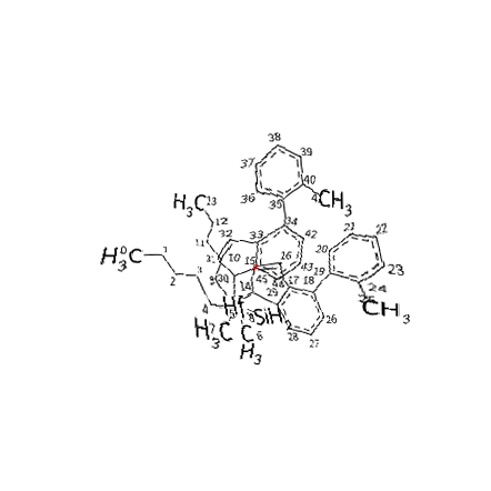 CCCC[CH2][Hf]([CH3])([CH3])(=[SiH2])([CH2]CCCC)([CH]1C=Cc2c(-c3ccccc3C)cccc21)[CH]1C=Cc2c(-c3ccccc3C)cccc21